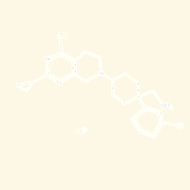 Cl.NCC1(c2cccc(Cl)c2)CCC(N2CCc3c(nc(C4CC4)nc3C(F)(F)F)C2)CC1